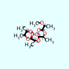 CO[C@@H](C)C(=O)O[C@@H](C)C(=O)O[C@@H](C)C(=O)O[C@@H](C)C(C)=O